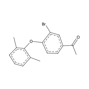 CC(=O)c1ccc(Oc2c(C)cccc2C)c(Br)c1